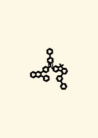 CC1(C)c2cc(N(c3ccc(-c4ccccc4)cc3)c3ccc(-c4cc5ccccc5cc4-c4ccccc4)cc3)ccc2-c2c(-c3cccc(-c4ccccc4)c3)cccc21